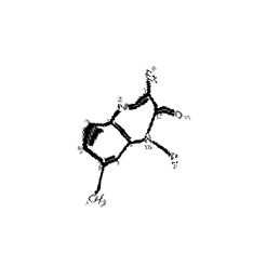 CCc1nc2ccc(C)cc2n(CC)c1=O